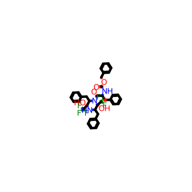 O=C(NC(Cc1ccccc1)C(=O)N1C(Cc2ccccc2)C(O)(C(F)(F)F)NC(Cc2ccccc2)C1(O)C(F)(F)F)OCc1ccccc1